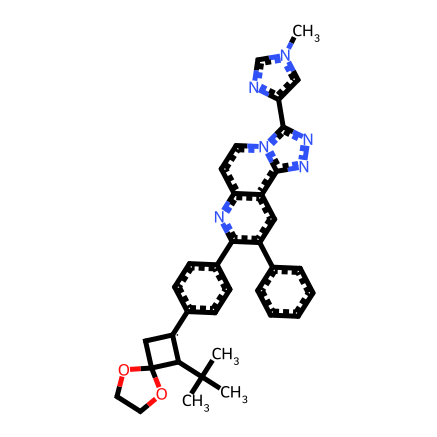 Cn1cnc(-c2nnc3c4cc(-c5ccccc5)c(-c5ccc([C]6CC7(OCCO7)C6C(C)(C)C)cc5)nc4ccn23)c1